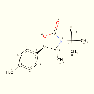 Cc1ccc([C@H]2OC(=O)N(C(C)(C)C)[C@@H]2C)cc1